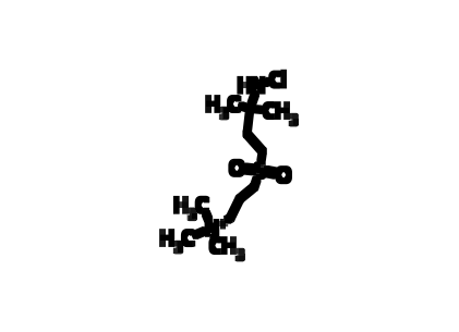 CC(C)(CCS(=O)(=O)CCC[N+](C)(C)C)NCl